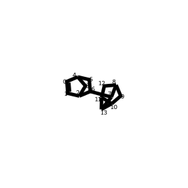 C1=CC2CC1CC2C1C2CC3C(C2)C31